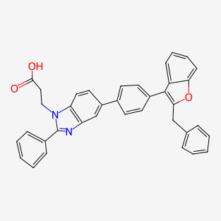 O=C(O)CCn1c(-c2ccccc2)nc2cc(-c3ccc(-c4c(Cc5ccccc5)oc5ccccc45)cc3)ccc21